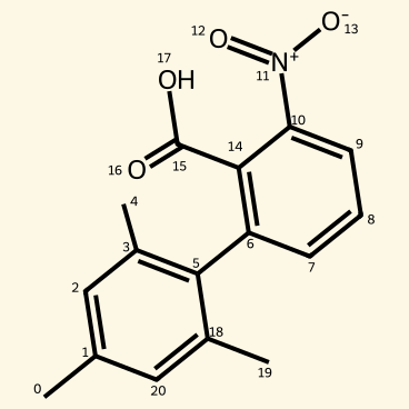 Cc1cc(C)c(-c2cccc([N+](=O)[O-])c2C(=O)O)c(C)c1